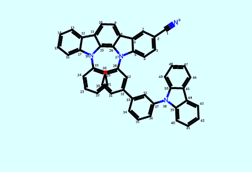 N#Cc1ccc2c(c1)c1ccc3c4ccccc4n(-c4ccccc4)c3c1n2-c1cccc(-c2cccc(-n3c4ccccc4c4ccccc43)c2)c1